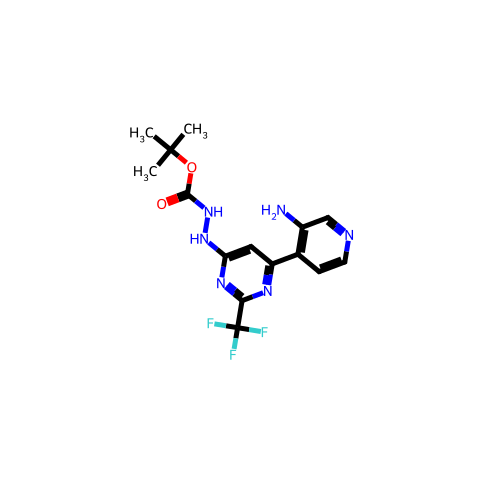 CC(C)(C)OC(=O)NNc1cc(-c2ccncc2N)nc(C(F)(F)F)n1